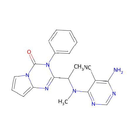 CC(c1nc2cccn2c(=O)n1-c1ccccc1)N(C)c1ncnc(N)c1C#N